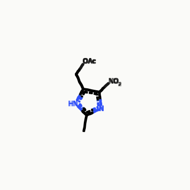 CC(=O)OCc1[nH]c(C)nc1[N+](=O)[O-]